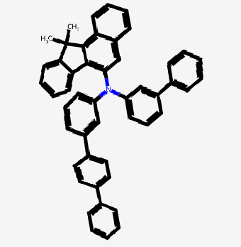 CC1(C)c2ccccc2-c2c(N(c3cccc(-c4ccccc4)c3)c3cccc(-c4ccc(-c5ccccc5)cc4)c3)cc3ccccc3c21